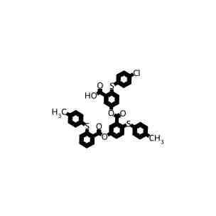 Cc1ccc(Sc2ccccc2C(=O)Oc2ccc(Sc3ccc(C)cc3)c(C(=O)Oc3ccc(Sc4ccc(Cl)cc4)c(C(=O)O)c3)c2)cc1